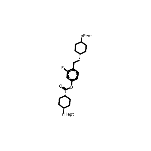 CCCCCCC[C@H]1CC[C@H](C(=O)Oc2ccc(CC[C@H]3CC[C@H](CCCCC)CC3)c(F)c2)CC1